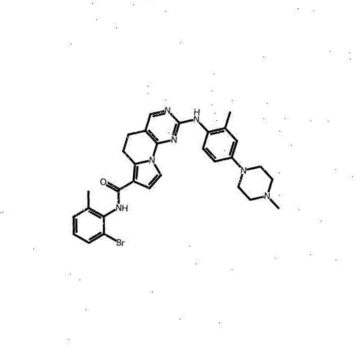 Cc1cc(N2CCN(C)CC2)ccc1Nc1ncc2c(n1)-n1ccc(C(=O)Nc3c(C)cccc3Br)c1CC2